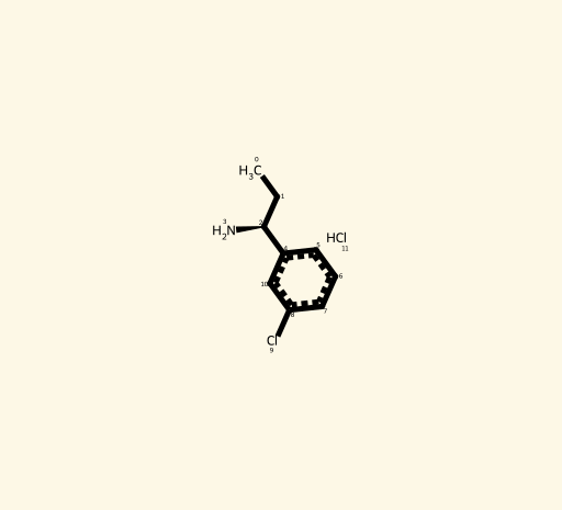 CC[C@H](N)c1cccc(Cl)c1.Cl